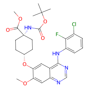 COc1cc2ncnc(Nc3cccc(Cl)c3F)c2cc1O[C@H]1CC[C@](NC(=O)OC(C)(C)C)(C(=O)OC)CC1